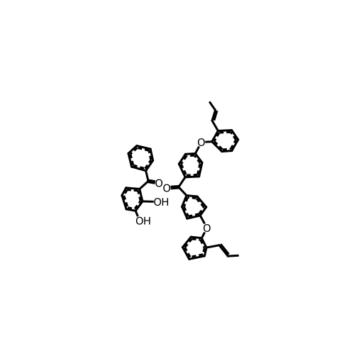 CC=Cc1ccccc1Oc1ccc(C(=O)c2ccc(Oc3ccccc3C=CC)cc2)cc1.O=C(c1ccccc1)c1cccc(O)c1O